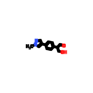 Cn1cc(-c2ccc(C(C=O)CO)cc2)cn1